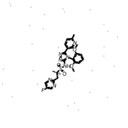 COc1cccc(OC)c1-n1c(NS(=O)(=O)[C@H](C)Cc2ncc(F)cn2)nnc1-c1ccc(C)nc1